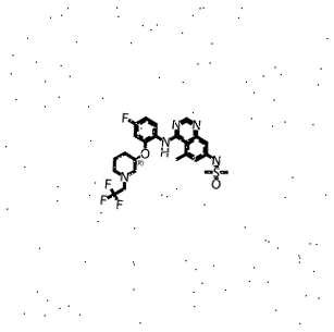 Cc1cc(N=S(C)(C)=O)cc2ncnc(Nc3ccc(F)cc3O[C@@H]3CCCN(CC(F)(F)F)C3)c12